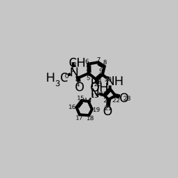 CN(C)C(=O)c1cccc(Nc2c(N[C@H]3C=CCCC3)c(=O)c2=O)c1O